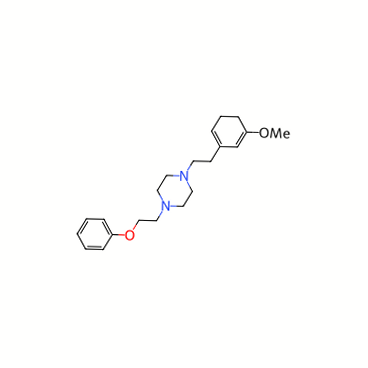 COC1=CC(CCN2CCN(CCOc3ccccc3)CC2)=CCC1